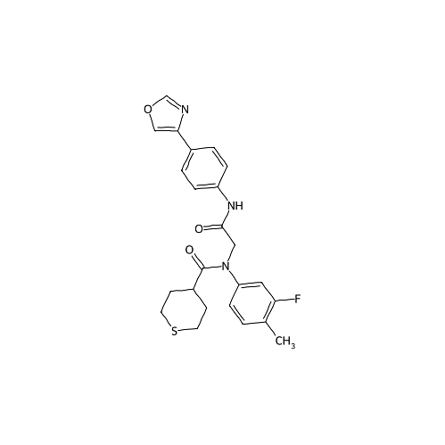 Cc1ccc(N(CC(=O)Nc2ccc(-c3cocn3)cc2)C(=O)C2CCSCC2)cc1F